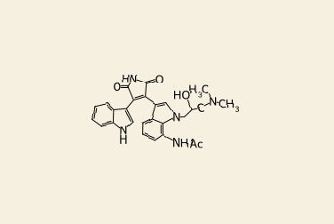 CC(=O)Nc1cccc2c(C3=C(c4c[nH]c5ccccc45)C(=O)NC3=O)cn(CC(O)CN(C)C)c12